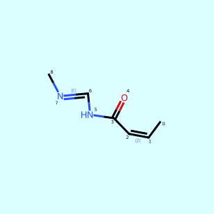 C/C=C\C(=O)N/C=N/C